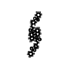 O=C(/C=C/c1ccc(OC(=O)C2CCCCC2)cc1)Oc1ccc2ccccc2c1-c1c(OC(=O)/C=C/c2ccc(OC(=O)C3CCCCC3)cc2)ccc2ccccc12